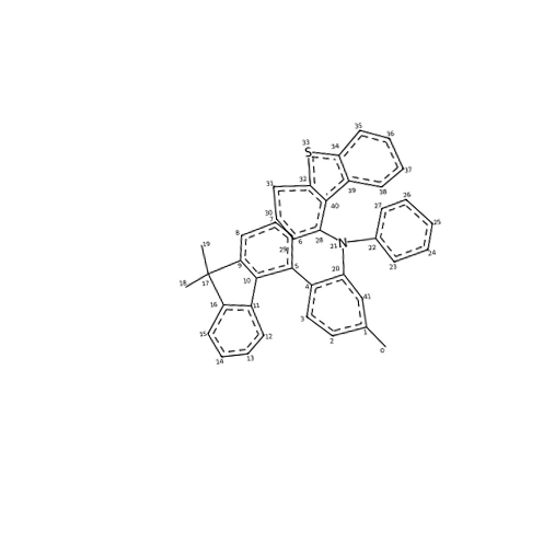 Cc1ccc(-c2cccc3c2-c2ccccc2C3(C)C)c(N(c2ccccc2)c2cccc3sc4ccccc4c23)c1